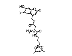 CC1O[Si]2(CCCNC(=O)[C@H](N)CC(=O)OCc3cc(=O)oc4cc(O)c(Br)cc34)OC(C)C1O2